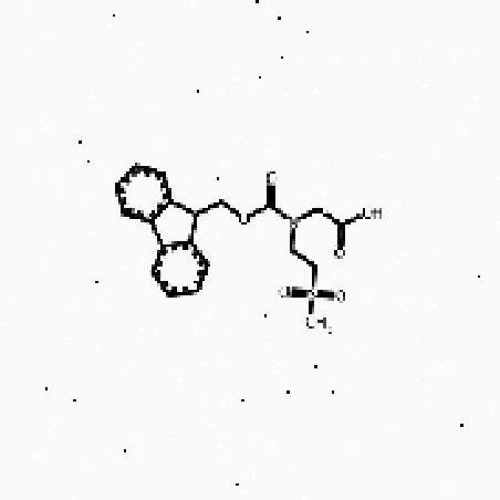 CS(=O)(=O)CCN(CC(=O)O)C(=O)OCC1c2ccccc2-c2ccccc21